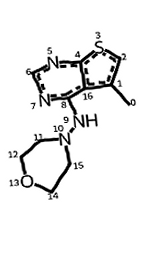 Cc1csc2ncnc(NN3CCOCC3)c12